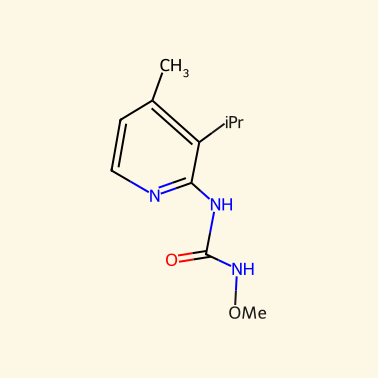 CONC(=O)Nc1nccc(C)c1C(C)C